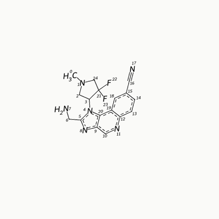 CN1CC(n2c(CN)nc3cnc4ccc(C#N)cc4c32)C(F)(F)C1